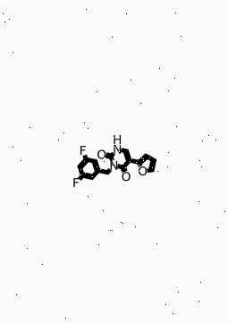 O=c1[nH]cc(-c2ccco2)c(=O)n1Cc1cc(F)cc(F)c1